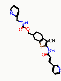 N#Cc1c(NC(=O)C=Cc2cccnc2)sc2c1CCC(COC(=O)NCc1ccccn1)C2